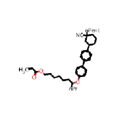 C=CC(=O)OCCCCCCC(CCC)Oc1ccc(-c2ccc(C3CCCC(C#N)(CCCCC)C3)cc2)cc1